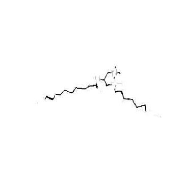 CCCCCCCC/C=C/CCCCCCCC(=O)NC(C[N+](C)(C)C)C(=O)NCCCCCCCCCCCCCCCC